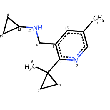 Cc1cnc(C2(C)CC2)c(CNC2CC2)c1